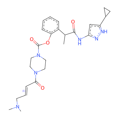 CC(C(=O)Nc1cc(C2CC2)[nH]n1)c1ccccc1OC(=O)N1CCN(C(=O)/C=C/CN(C)C)CC1